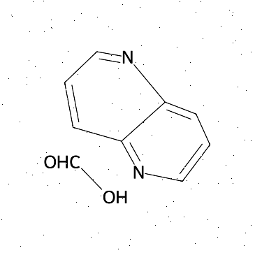 O=CO.c1cnc2cccnc2c1